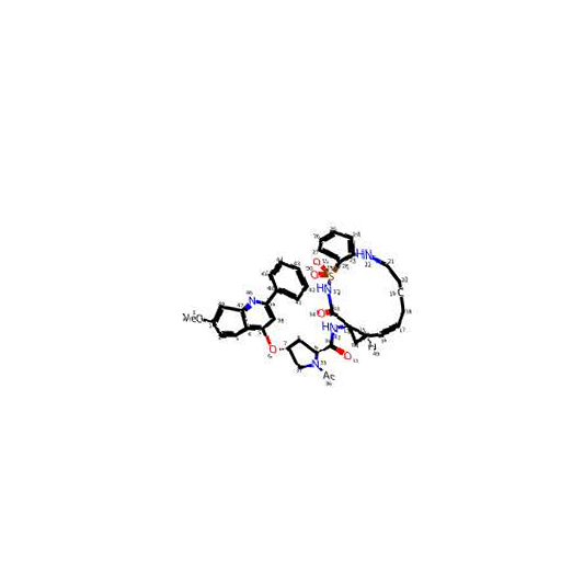 COc1ccc2c(O[C@@H]3C[C@@H](C(=O)N[C@]45C[C@@H]4/C=C\CCCCNc4ccccc4S(=O)(=O)NC5=O)N(C(C)=O)C3)cc(-c3ccccc3)nc2c1